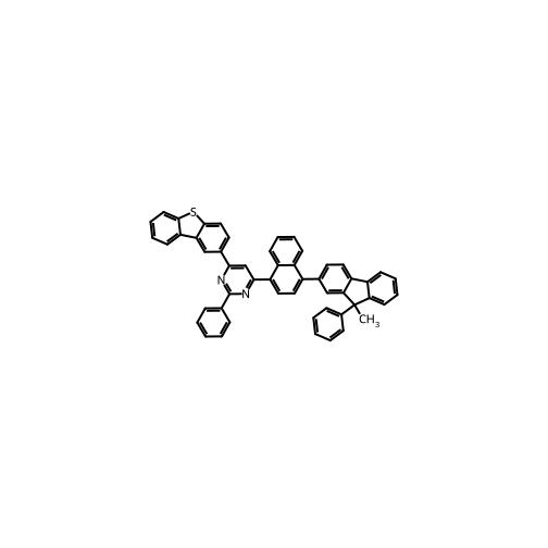 CC1(c2ccccc2)c2ccccc2-c2ccc(-c3ccc(-c4cc(-c5ccc6sc7ccccc7c6c5)nc(-c5ccccc5)n4)c4ccccc34)cc21